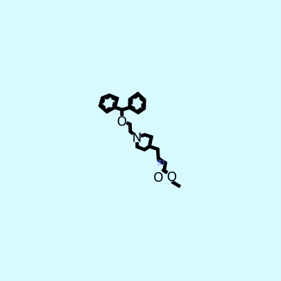 CCOC(=O)/C=C/CC1CCN(CCOC(c2ccccc2)c2ccccc2)CC1